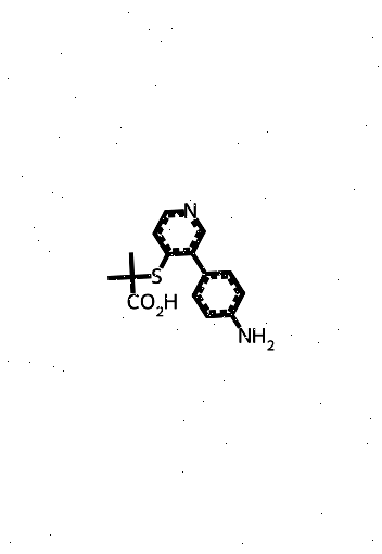 CC(C)(Sc1ccncc1-c1ccc(N)cc1)C(=O)O